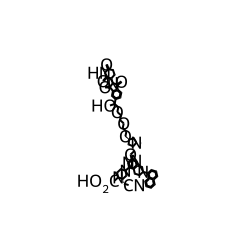 CN1C[C@H](OCCOCCOCC(O)c2ccc3c(c2)C(=O)N(C2CCC(=O)NC2=O)C3=O)C[C@H]1COc1nc2c(c(N3CCN(C(=O)O)[C@@H](CC#N)C3)n1)CCN(c1cccc3ccccc13)C2